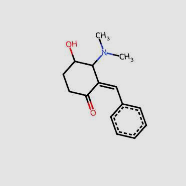 CN(C)C1C(=Cc2ccccc2)C(=O)CCC1O